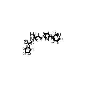 CC(C)(CCn1ccc(-c2cccnc2)n1)NCC(=O)N1CCCC1